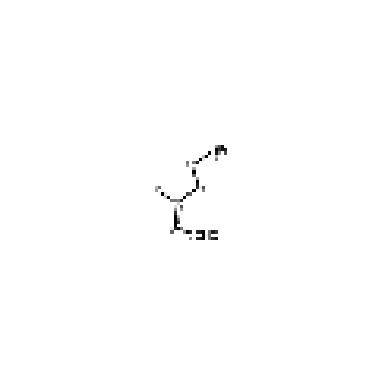 CC(=CC=O)CCC(C)C